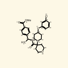 COC(=O)c1ccc(C(C)NC(=O)C2(N3CCC(Oc4cccc(Cl)c4)CC3)CCOCC2)cc1